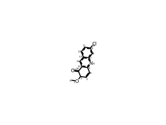 COC1C=Cc2nc3cc(Cl)ccc3cc2C1=O